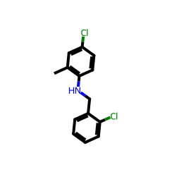 Cc1cc(Cl)ccc1NCc1ccccc1Cl